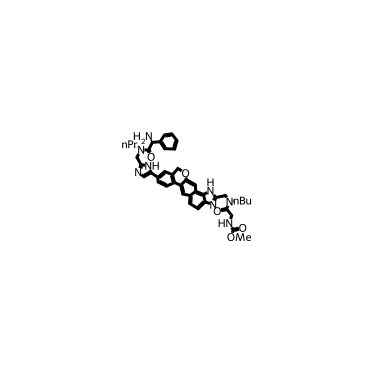 CCCCN(Cc1nc2ccc3cc4c(cc3c2[nH]1)OCc1cc(-c2cnc(CN(CCC)C(=O)[C@H](N)c3ccccc3)[nH]2)ccc1-4)C(=O)CNC(=O)OC